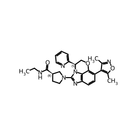 CCNC(=O)[C@@H]1CCN(c2nc3ccc(-c4c(C)noc4C)c4c3n2[C@@H](c2ccccn2)CO4)C1